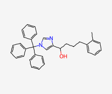 Cc1ccccc1CCCC(O)c1cn(C(c2ccccc2)(c2ccccc2)c2ccccc2)cn1